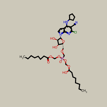 CCCCCCCC(=O)OCOP(=O)(COC[C@H]1O[C@@H](n2ccc3c(NC4CCCC4)c(C#N)c(Cl)nc32)[C@H](O)[C@@H]1O)OCOC(O)CCCCCCC